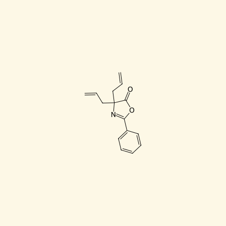 C=CCC1(CC=C)N=C(c2ccccc2)OC1=O